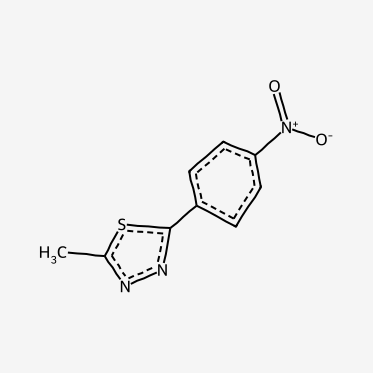 Cc1nnc(-c2ccc([N+](=O)[O-])cc2)s1